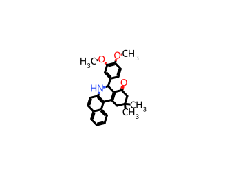 COc1ccc(C2Nc3ccc4ccccc4c3C3=C2C(=O)CC(C)(C)C3)cc1OC